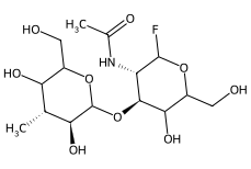 CC(=O)N[C@@H]1C(F)OC(CO)C(O)[C@H]1OC1OC(CO)C(O)[C@@H](C)[C@@H]1O